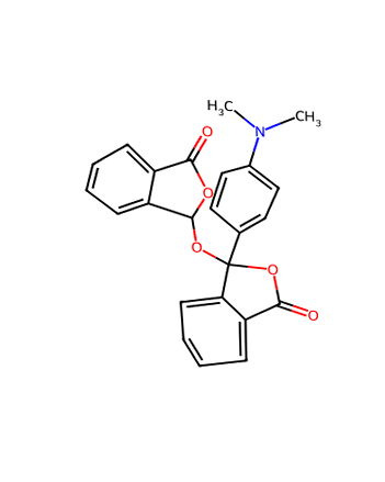 CN(C)c1ccc(C2(OC3OC(=O)c4ccccc43)OC(=O)c3ccccc32)cc1